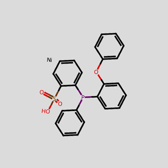 O=S(=O)(O)c1ccccc1P(c1ccccc1)c1ccccc1Oc1ccccc1.[Ni]